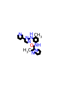 Cc1ccc(NC(=O)c2c(C)nc3ccccn23)cc1Nc1nccc(-c2cccnc2)n1